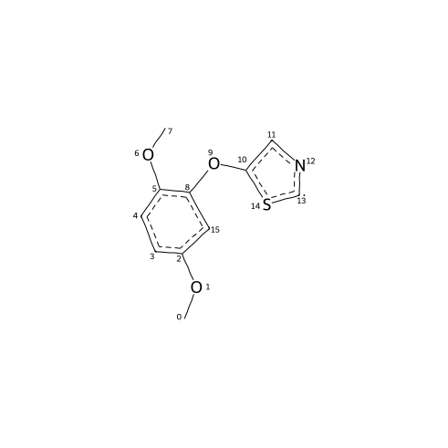 COc1ccc(OC)c(Oc2cn[c]s2)c1